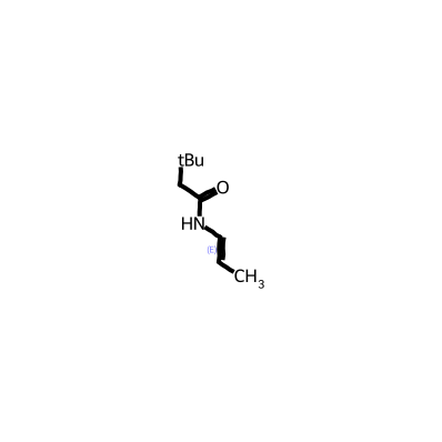 C/C=C/NC(=O)CC(C)(C)C